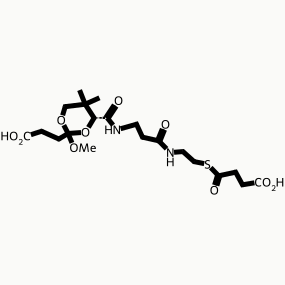 COC1(CCC(=O)O)OCC(C)(C)[C@H](C(=O)NCCC(=O)NCCSC(=O)CCC(=O)O)O1